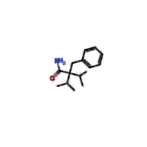 CC(C)C(Cc1ccccc1)(C(N)=O)C(C)C